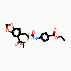 CCOC(=O)c1ccc(NC(=O)[C@H]2Cc3cc4c(cc3C(=O)[C@H](C)S2)OCO4)cc1